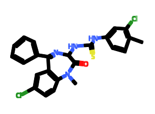 Cc1ccc(NC(=S)NC2N=C(c3ccccc3)c3cc(Cl)ccc3N(C)C2=O)cc1Cl